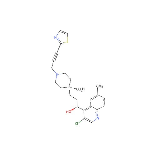 COc1ccc2ncc(Cl)c([C@@H](O)CCC3(C(=O)O)CCN(CC#Cc4nccs4)CC3)c2c1